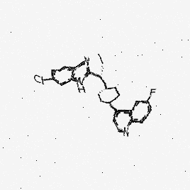 CC[C@@H](c1nc2ccc(Cl)cc2[nH]1)[C@H]1CC[C@H](c2ccnc3ccc(F)cc32)CC1